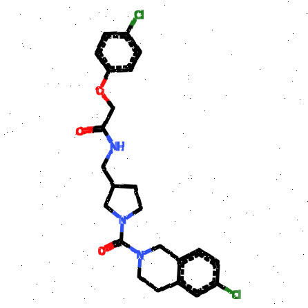 O=C(COc1ccc(Cl)cc1)NCC1CCN(C(=O)N2CCc3cc(Cl)ccc3C2)C1